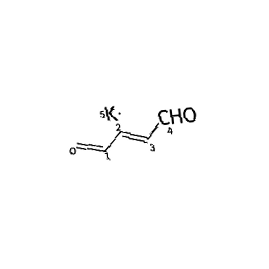 C=CC=CC=O.[K]